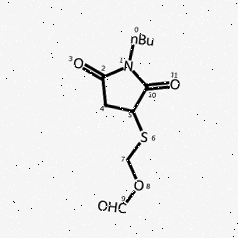 CCCCN1C(=O)CC(SCOC=O)C1=O